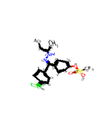 CC(=O)C=C(C)NN=C(c1ccc(Cl)cc1)c1ccc(OS(=O)(=O)C(F)(F)F)cc1